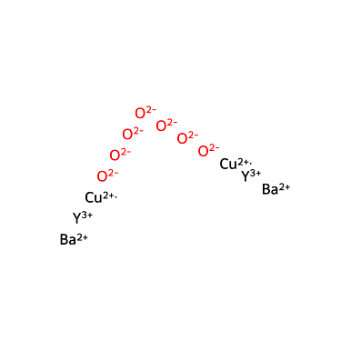 [Ba+2].[Ba+2].[Cu+2].[Cu+2].[O-2].[O-2].[O-2].[O-2].[O-2].[O-2].[O-2].[Y+3].[Y+3]